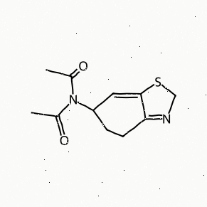 CC(=O)N(C(C)=O)C1C=C2SCN=C2CC1